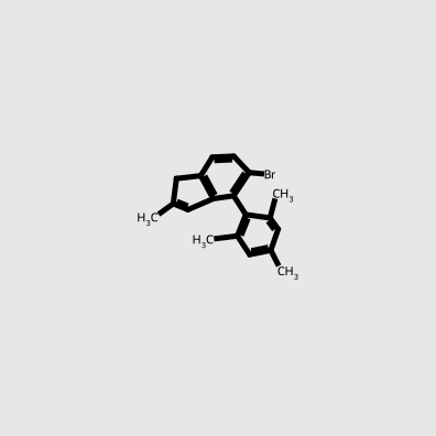 CC1=Cc2c(ccc(Br)c2-c2c(C)cc(C)cc2C)C1